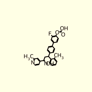 Cc1cc(/C(CC(c2ccc(-c3ccc(OC(=O)O)c(F)c3)cc2)c2ccccc2C)=N/O)ccn1